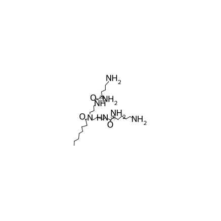 CCCCCCCC(=O)N(CCCNC(=O)[C@@H](N)CCCCN)CCCNC(=O)[C@@H](N)CCCCN